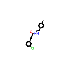 Cc1ccc(CCNC(=O)C#Cc2cccc(Cl)c2)cc1